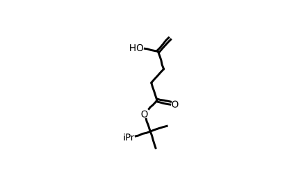 C=C(O)CCC(=O)OC(C)(C)C(C)C